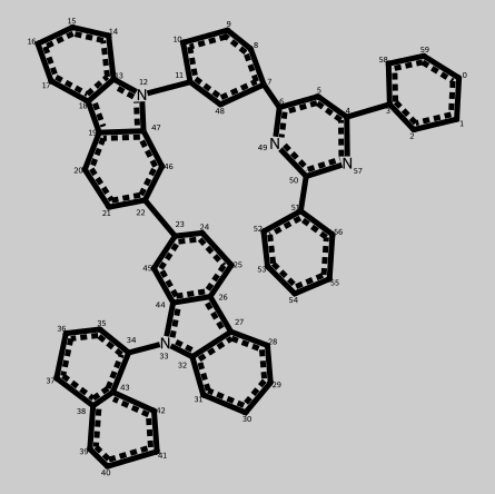 c1ccc(-c2cc(-c3cccc(-n4c5ccccc5c5ccc(-c6ccc7c8ccccc8n(-c8cccc9ccccc89)c7c6)cc54)c3)nc(-c3ccccc3)n2)cc1